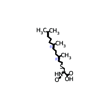 CC(C)=CCC/C(C)=C/CC/C(C)=C/CSC[C@H](NC=O)C(=O)O